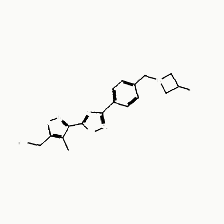 Cc1c(-c2nc(-c3ccc(CN4CC(C(=O)O)C4)cc3)no2)noc1CC(C)C